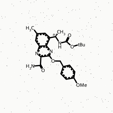 COc1ccc(COc2nc3c([C@@H](C)NC(=O)OC(C)(C)C)cc(C)cc3nc2C(N)=O)cc1